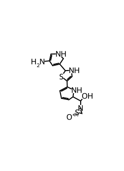 NC1=CNCC(C2NC=C(C3=CC=CC(C(O)N4C[S@+]4[O-])N3)S2)=C1